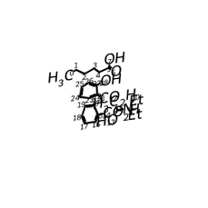 CCCCCC(=O)O.CCN(CC)C(C)O.O=C(O)c1ccccc1.O=C(O)c1ccccc1O